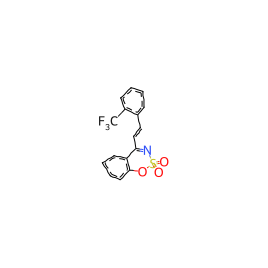 O=S1(=O)N=C(C=Cc2ccccc2C(F)(F)F)c2ccccc2O1